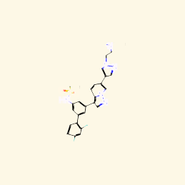 CN(C)CCn1cc(-c2ccc3c(-c4cc(NS(C)(=O)=O)cc(-c5ccc(F)cc5F)c4)cnn3c2)cn1